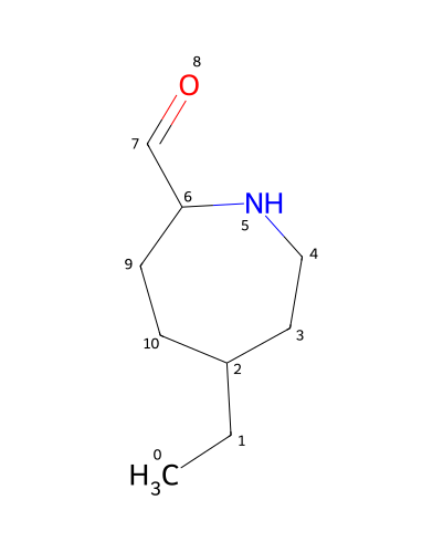 CCC1CCNC(C=O)CC1